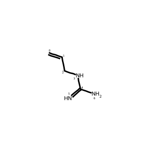 C=C[CH]NC(=N)N